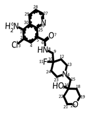 Nc1c(Cl)cc(C(=O)NCC2(F)CCN(CC3(O)CCOCC3)CC2)c2ncccc12